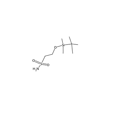 CC(C)(C)[Si](C)(C)OCCS(N)(=O)=O